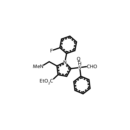 CCOC(=O)c1cc([SH](=O)(C=O)c2ccccc2)n(-c2ccccc2F)c1CNC